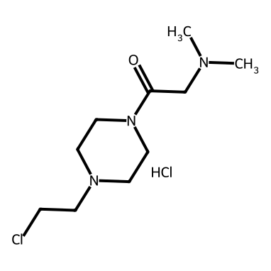 CN(C)CC(=O)N1CCN(CCCl)CC1.Cl